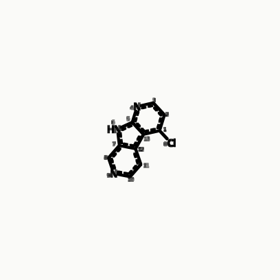 Clc1ccnc2[nH]c3cnccc3c12